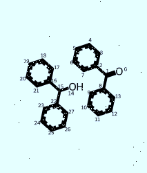 O=C(c1ccccc1)c1ccccc1.OC(c1ccccc1)c1ccccc1